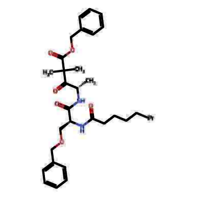 CC(C)CCCCC(=O)N[C@@H](COCc1ccccc1)C(=O)N[C@@H](C)C(=O)C(C)(C)C(=O)OCc1ccccc1